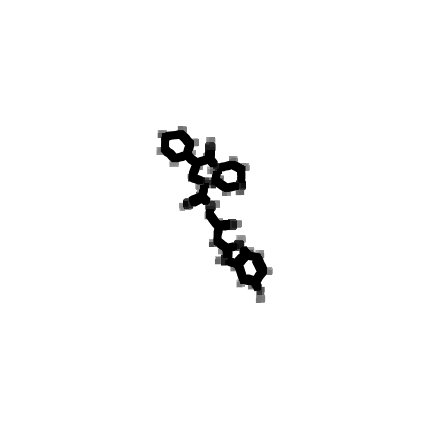 O=C(COC(=O)NCC(C(=O)N1CCOCC1)C1CCCCC1)Cc1nc2cc(F)ccc2o1